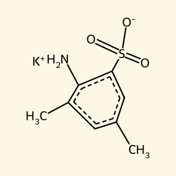 Cc1cc(C)c(N)c(S(=O)(=O)[O-])c1.[K+]